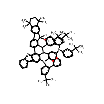 CC(C)(C)c1ccc(C2B3c4cc(N(c5cccc(C(C)(C)C)c5)c5cccc(C(C)(C)C)c5)ccc4N(c4ccc(C(C)(C)C)cc4-c4ccccc4)c4cc5c(oc6ccccc65)c(c43)-c3ccc4c(c32)C(C)(C)c2cc3c(cc2-4)C(C)(C)CCC3(C)C)cc1